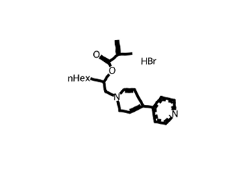 Br.C=C(C)C(=O)OC(CCCCCC)CN1C=CC(c2ccncc2)=CC1